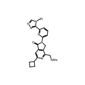 CNCc1nc(C2CCC2)cc2c1CN(c1cccc(-c3nncn3C(C)C)n1)C2=O